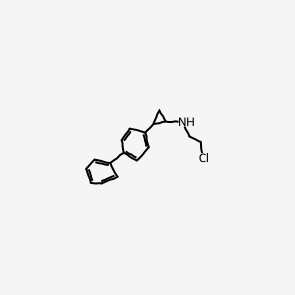 ClCCNC1CC1c1ccc(-c2ccccc2)cc1